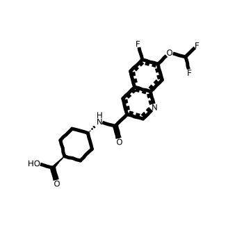 O=C(N[C@H]1CC[C@H](C(=O)O)CC1)c1cnc2cc(OC(F)F)c(F)cc2c1